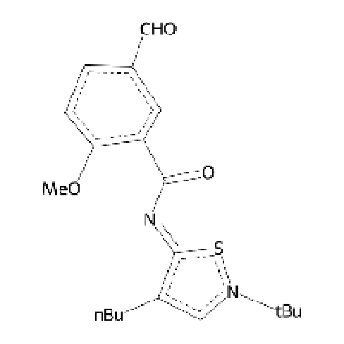 CCCCc1cn(C(C)(C)C)sc1=NC(=O)c1cc(C=O)ccc1OC